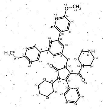 COc1ccc(-c2cc(Cn3c(C(=O)N4CCNCC4)c(-c4ccccc4)n(C4CCCCC4)c3=O)cc(-c3ccc(OC)nc3)n2)cn1